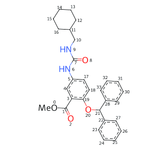 COC(=O)c1cc(NC(=O)NCC2CCCCC2)ccc1OC(c1ccccc1)c1ccccc1